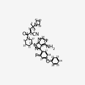 CC(C)(/C=C(\C#N)C(=O)N1CCC[C@@H](n2nc(-c3ccc(Oc4ccccc4)cc3F)c3c(N)ncnc32)C1)N1CCC1